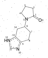 O=C1CCCN1C1CCc2nc[nH]c2C1